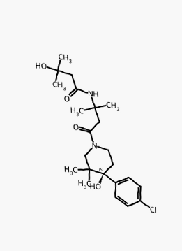 CC(C)(O)CC(=O)NC(C)(C)CC(=O)N1CC[C@](O)(c2ccc(Cl)cc2)C(C)(C)C1